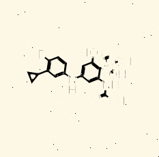 CC(=O)Nc1cc(Nc2ccc(F)c(C3CC3)c2)cc(O)c1[As](=O)(O)O